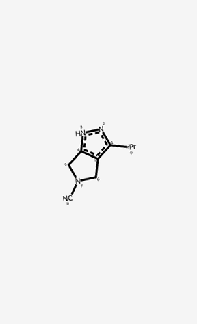 CC(C)c1n[nH]c2c1CN(C#N)C2